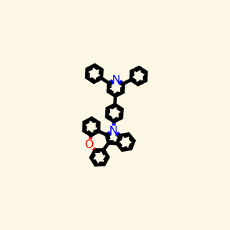 c1ccc(-c2cc(-c3ccc(-n4c5c(c6ccccc64)-c4ccccc4Oc4ccccc4-5)cc3)cc(-c3ccccc3)n2)cc1